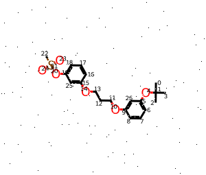 CC(C)(C)Oc1cccc(OCCCOc2cccc(OS(C)(=O)=O)c2)c1